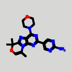 CC1=COC(C)(C)c2nc3c(N4CCOCC4)nc(-c4cnc(N)nc4)nc3n21